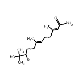 C/C(=C\C(N)=O)CC/C=C(\C)CCC(Br)C(C)(C)O